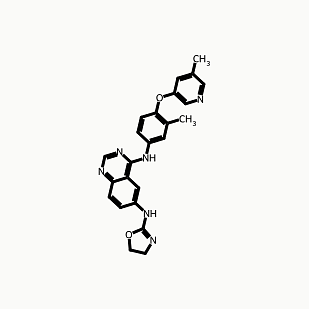 Cc1cncc(Oc2ccc(Nc3ncnc4ccc(NC5=NCCO5)cc34)cc2C)c1